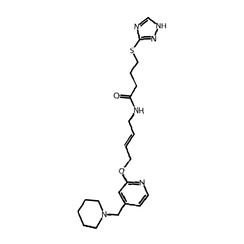 O=C(CCCSc1nc[nH]n1)NCC=CCOc1cc(CN2CCCCC2)ccn1